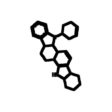 C1=CCC(N2c3ccccc3C3CCC4C5=C(C=CC4C32)C2CCCCC2N5)CC1